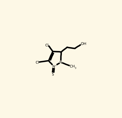 CN1C(CCO)C(Cl)=C(Cl)[N+]1=S